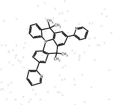 CC1(C)c2ccccc2N2c3ccc(-c4ccccn4)cc3C(C)(C)c3cc(-c4ccccn4)cc1c32